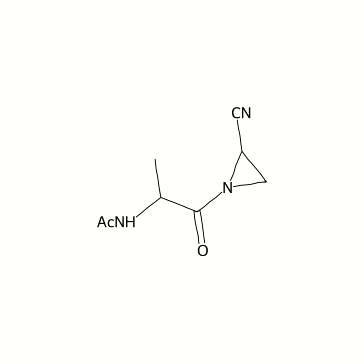 CC(=O)NC(C)C(=O)N1CC1C#N